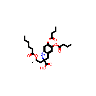 CCCCCC(=O)O[C@@H](C)CC(N)(Cc1ccc(OC(=O)CCC)c(OC(=O)CCC)c1)C(=O)O